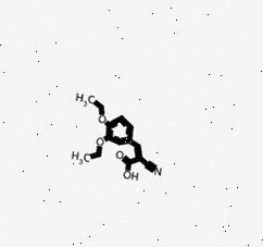 CCOc1ccc(C=C(C#N)C(=O)O)cc1OCC